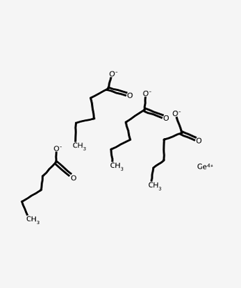 CCCCC(=O)[O-].CCCCC(=O)[O-].CCCCC(=O)[O-].CCCCC(=O)[O-].[Ge+4]